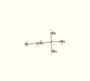 CCCC[P+](CCCC)(CCCC)CCCC.N#C[S-]